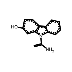 C=C(N)n1c2ccccc2c2ccc(O)cc21